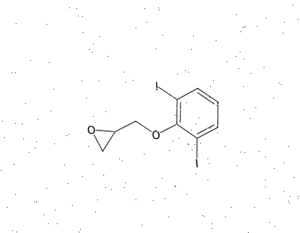 Ic1cccc(I)c1OCC1CO1